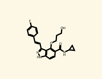 O=C(NC1CC1)c1ccc2[nH]nc(C=Cc3ccc(F)cc3)c2c1OCCCO